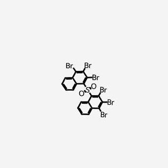 O=S(=O)(c1c(Br)c(Br)c(Br)c2ccccc12)c1c(Br)c(Br)c(Br)c2ccccc12